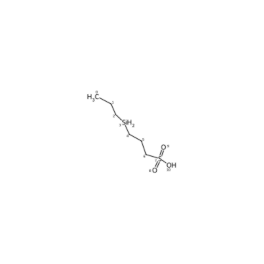 CCC[SiH2]CCCS(=O)(=O)O